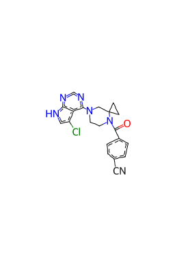 N#Cc1ccc(C(=O)N2CCN(c3ncnc4[nH]cc(Cl)c34)CC23CC3)cc1